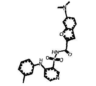 Cc1cccc(Nc2ccncc2S(=O)(=O)NC(=O)c2cc3ccc(N(C)C)cc3o2)c1